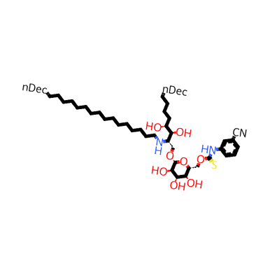 CCCCCCCCCCCCCCCCCCCCCCCCCCN[C@@H](CO[C@@H]1O[C@H](COC(=S)Nc2cccc(C#N)c2)[C@H](O)[C@H](O)[C@H]1O)[C@H](O)[C@H](O)CCCCCCCCCCCCCC